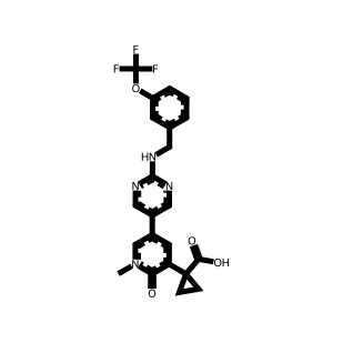 Cn1cc(-c2cnc(NCc3cccc(OC(F)(F)F)c3)nc2)cc(C2(C(=O)O)CC2)c1=O